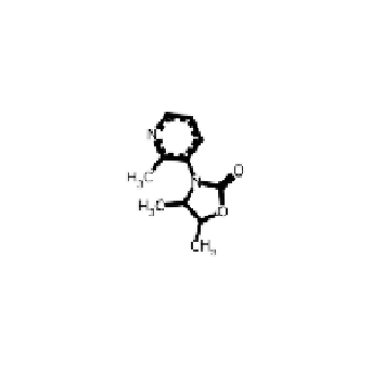 Cc1ncccc1N1C(=O)OC(C)C1C